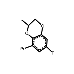 CC1COc2cc(F)cc(C(C)C)c2O1